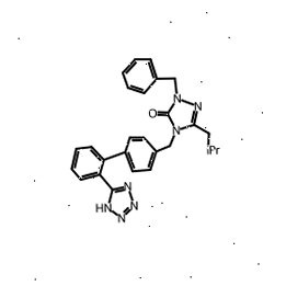 CC(C)Cc1nn(Cc2ccccc2)c(=O)n1Cc1ccc(-c2ccccc2-c2nnn[nH]2)cc1